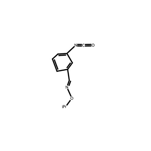 CC(C)ON=Cc1cccc(N=C=O)c1